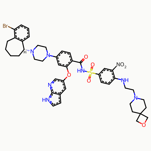 O=C(NS(=O)(=O)c1ccc(NCCN2CCC3(CC2)COC3)c([N+](=O)[O-])c1)c1ccc(N2CCN([C@@H]3CCCCc4c(Br)cccc43)CC2)cc1Oc1cnc2[nH]ccc2c1